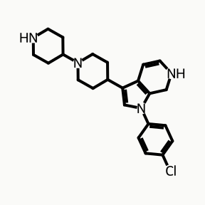 Clc1ccc(-n2cc(C3CCN(C4CCNCC4)CC3)c3c2CNC=C3)cc1